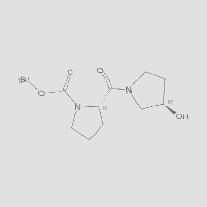 CC(C)(C)OC(=O)N1CCC[C@H]1C(=O)N1CC[C@@H](O)C1